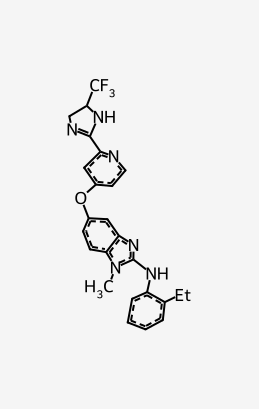 CCc1ccccc1Nc1nc2cc(Oc3ccnc(C4=NCC(C(F)(F)F)N4)c3)ccc2n1C